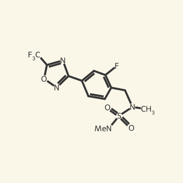 CNS(=O)(=O)N(C)Cc1ccc(-c2noc(C(F)(F)F)n2)cc1F